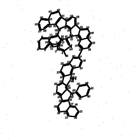 Cc1nc(-c2ccccc2)nc(-n2c3c4cc(-c5ccc6c(ccc7c8ccc9c%10ccc%11ccccc%11c%10n(-c%10ccccc%10)c9c8[nH]c67)c5)ccc4ccc3c3ccc4c5ccc6ccccc6c5n(-c5ccccc5)c4c32)n1